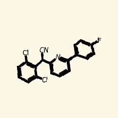 N#CC(c1cccc(-c2ccc(F)cc2)n1)c1c(Cl)cccc1Cl